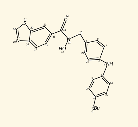 CC(C)(C)c1ccc(Nc2ccc(CN(O)C(=O)c3ccc4ncsc4c3)cc2)cc1